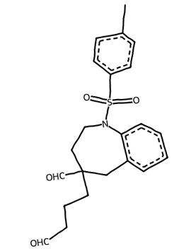 Cc1ccc(S(=O)(=O)N2CCC(C=O)(CCCC=O)Cc3ccccc32)cc1